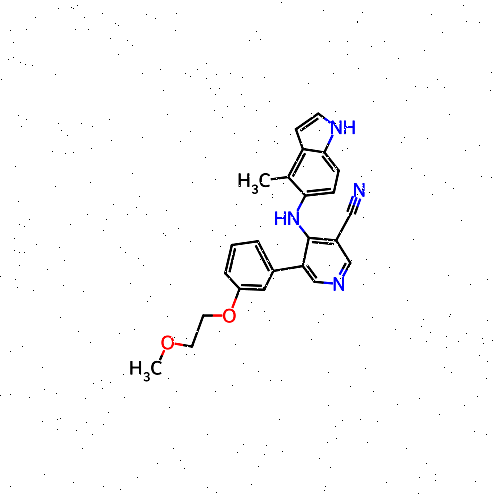 COCCOc1cccc(-c2cncc(C#N)c2Nc2ccc3[nH]ccc3c2C)c1